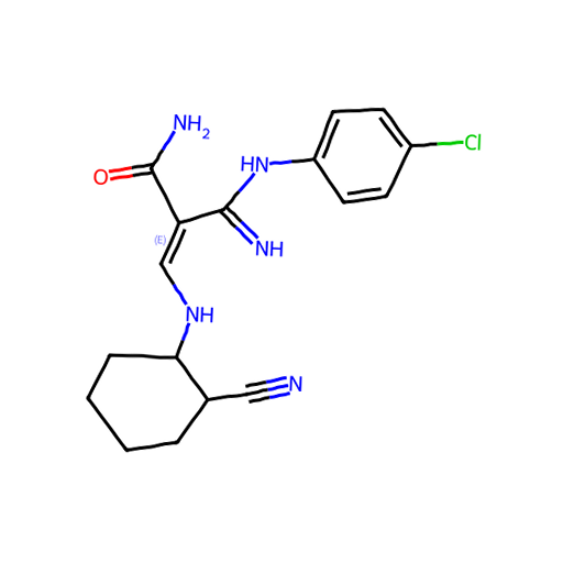 N#CC1CCCCC1N/C=C(\C(=N)Nc1ccc(Cl)cc1)C(N)=O